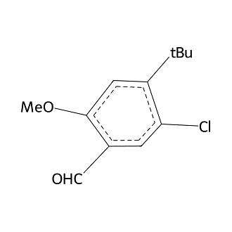 COc1cc(C(C)(C)C)c(Cl)cc1C=O